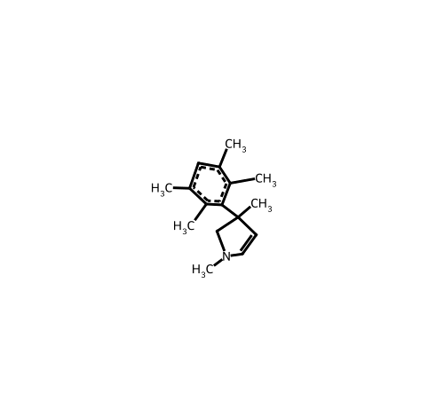 Cc1cc(C)c(C)c(C2(C)C=CN(C)C2)c1C